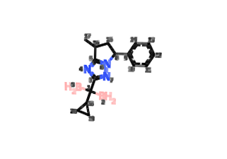 BC(B)(c1nc2n(n1)C(c1ccccc1)CC2C)C1CC1